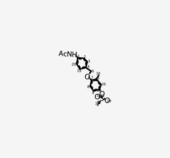 CC(=O)Nc1ccc(COc2ccc(OS(=O)(=O)F)cc2C)cc1